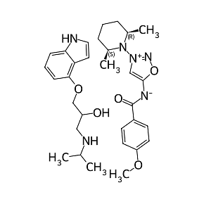 CC(C)NCC(O)COc1cccc2[nH]ccc12.COc1ccc(C(=O)[N-]c2c[n+](N3[C@H](C)CCC[C@@H]3C)no2)cc1